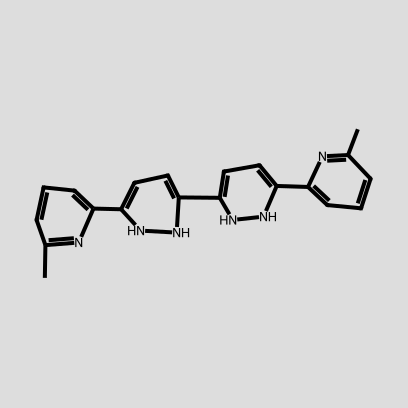 Cc1cccc(C2=CC=C(C3=CC=C(c4cccc(C)n4)NN3)NN2)n1